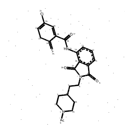 CC(=O)N1CCC(CCN2C(=O)c3cccc(NC(=O)C4=CC(Cl)=CCC4=S)c3C2=O)CC1